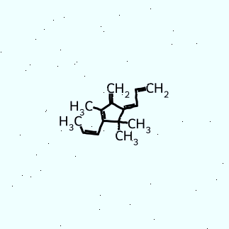 C=C/C=C1\C(=C)C(C)=C(/C=C\C)C1(C)C